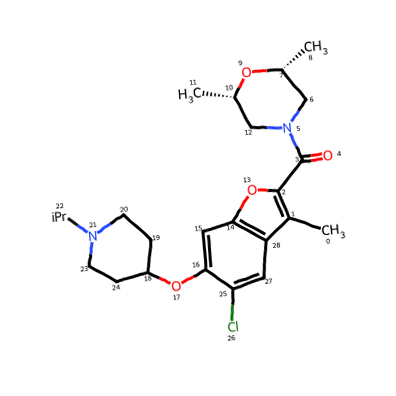 Cc1c(C(=O)N2C[C@@H](C)O[C@@H](C)C2)oc2cc(OC3CCN(C(C)C)CC3)c(Cl)cc12